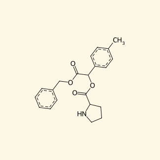 Cc1ccc(C(OC(=O)C2CCCN2)C(=O)OCc2ccccc2)cc1